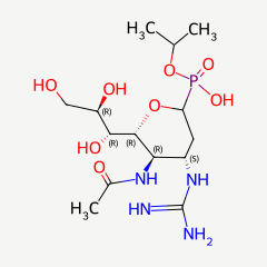 CC(=O)N[C@H]1[C@H]([C@H](O)[C@H](O)CO)OC(P(=O)(O)OC(C)C)C[C@@H]1NC(=N)N